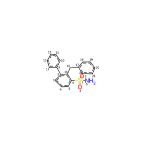 NS(=O)(=O)c1cccc(-c2ccccc2)c1Cc1ccccc1